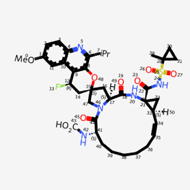 COc1ccc2nc(C(C)C)c3c(c2c1)[C@H](F)C[C@]1(C[C@H]2C(=O)N[C@]4(C(=O)NS(=O)(=O)C5(C)CC5)C[C@H]4C=CCCCCC[C@H](NC(=O)O)C(=O)N2C1)O3